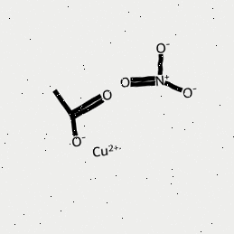 CC(=O)[O-].O=[N+]([O-])[O-].[Cu+2]